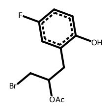 CC(=O)OC(CBr)Cc1cc(F)ccc1O